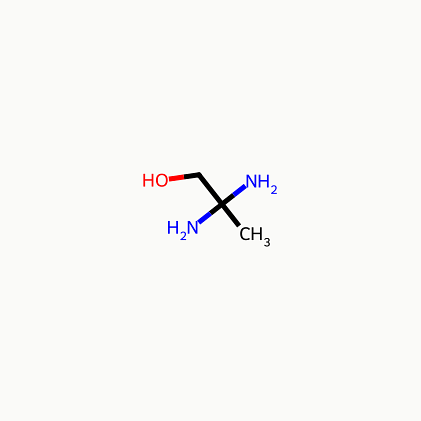 CC(N)(N)CO